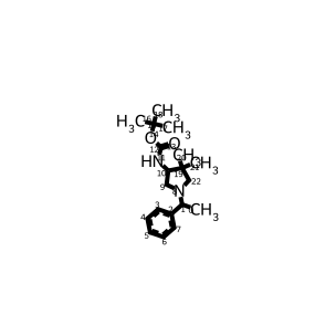 CC(c1ccccc1)N1CC(NC(=O)OC(C)(C)C)C(C)(C)C1